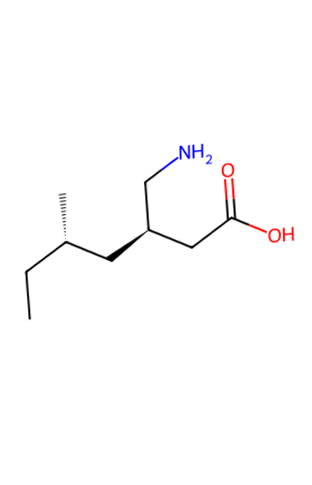 CC[C@H](C)C[C@@H](CN)CC(=O)O